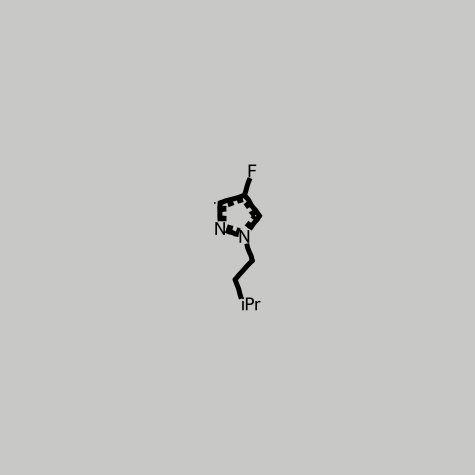 CC(C)CCn1cc(F)[c]n1